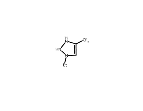 CCN1C=C(C(F)(F)F)NN1